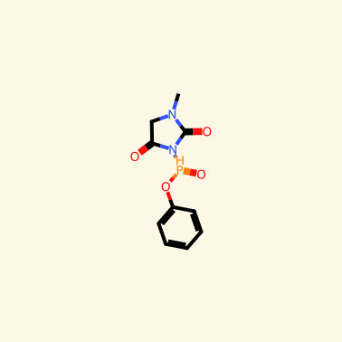 CN1CC(=O)N([PH](=O)Oc2ccccc2)C1=O